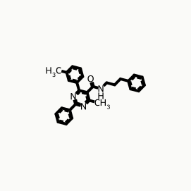 Cc1cccc(-c2nc(-c3ccccc3)nc(C)c2C(=O)NCCCc2ccccc2)c1